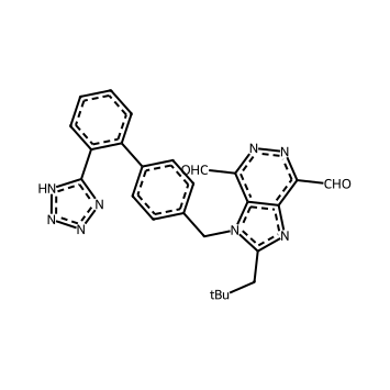 CC(C)(C)Cc1nc2c(C=O)nnc(C=O)c2n1Cc1ccc(-c2ccccc2-c2nnn[nH]2)cc1